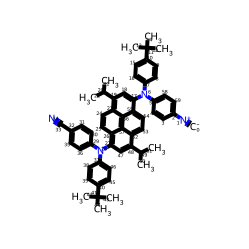 [C-]#[N+]c1ccc(N(c2ccc(C(C)(C)C)cc2)c2cc(C(C)C)c3ccc4c(N(c5ccc(C#N)cc5)c5ccc(C(C)(C)C)cc5)cc(C(C)C)c5ccc2c3c54)cc1